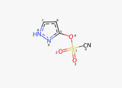 N#CS(=O)(=O)Oc1cc[nH]n1